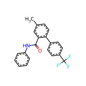 Cc1ccc(-c2ccc(C(F)(F)F)cc2)c(C(=O)Nc2cc[c]cc2)c1